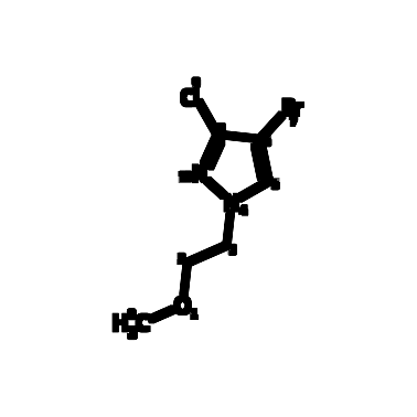 COCCn1cc(Br)c(Cl)n1